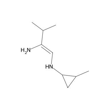 CC(C)/C(N)=C/NC1CC1C